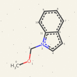 COCn1ccc2ccccc21